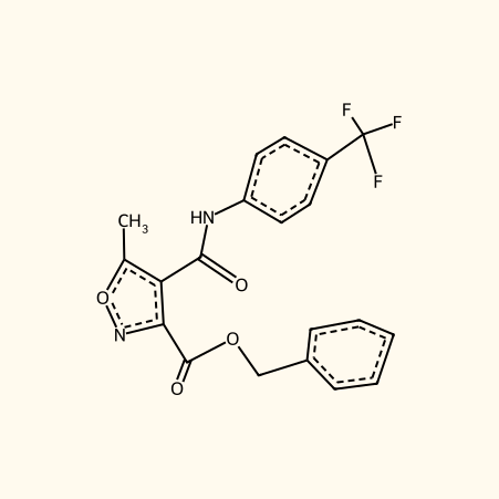 Cc1onc(C(=O)OCc2ccccc2)c1C(=O)Nc1ccc(C(F)(F)F)cc1